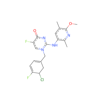 COc1nc(C)c(Nc2nc(=O)c(F)cn2CC2=CC=C(F)C(Cl)C2)cc1C